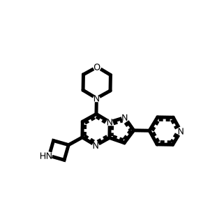 c1cc(-c2cc3nc(C4CNC4)cc(N4CCOCC4)n3n2)ccn1